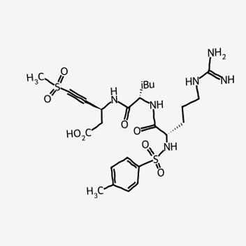 CCC(C)[C@H](NC(=O)[C@H](CCCNC(=N)N)NS(=O)(=O)c1ccc(C)cc1)C(=O)N[C@H](C#CS(C)(=O)=O)CC(=O)O